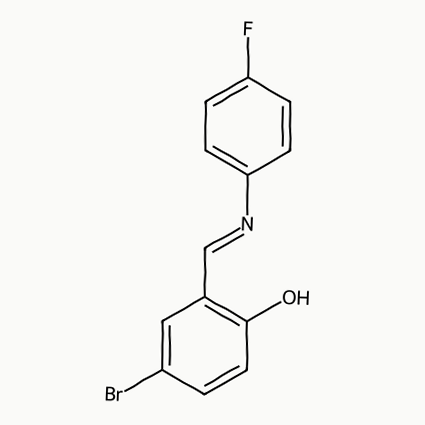 Oc1ccc(Br)cc1C=Nc1ccc(F)cc1